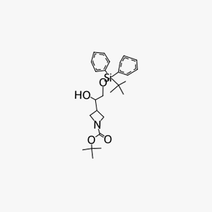 CC(C)(C)OC(=O)N1CC(C(O)CO[Si](c2ccccc2)(c2ccccc2)C(C)(C)C)C1